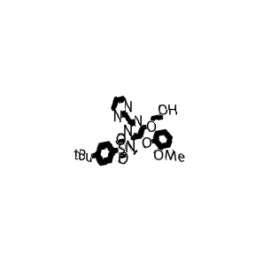 COc1ccccc1Oc1c(OCCO)nc(-c2ncccn2)nc1N(C)S(=O)(=O)c1ccc(C(C)(C)C)cc1